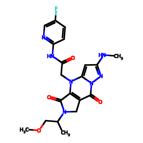 CNc1cc2n(CC(=O)Nc3ccc(F)cn3)c3c(c(=O)n2n1)CN(C(C)COC)C3=O